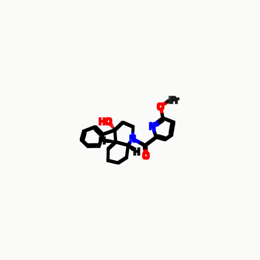 CC(C)Oc1cccc(C(=O)N2CC[C@](O)(c3ccccc3)[C@H]3CCCC[C@H]32)n1